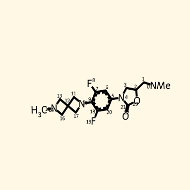 CNCC1CN(c2cc(F)c(N3CC4(CN(C)C4)C3)c(F)c2)C(=O)O1